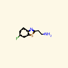 NCCc1nc2ccc(F)cc2s1